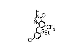 CCSc1ccc(Cl)cc1Cc1cc(C(F)(F)F)cc2c(=O)[nH]cnc12